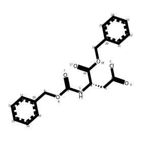 O=C(Cl)C[C@H](NC(=O)OCc1ccccc1)C(=O)OCc1ccccc1